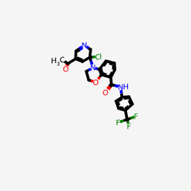 CC(=O)C1=CC(Cl)(N2CCOc3c(C(=O)Nc4ccc(C(F)(F)F)cc4)cccc32)CN=C1